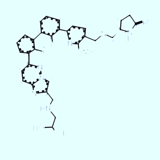 COc1nc(-c2cccc(-c3cccc(-c4ccc5nc(CNCC(C)O)cn5n4)c3Cl)c2Cl)ccc1CNC[C@H]1CCC(=O)N1